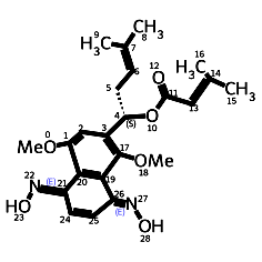 COc1cc([C@H](CC=C(C)C)OC(=O)C=C(C)C)c(OC)c2c1/C(=N/O)C=C/C2=N\O